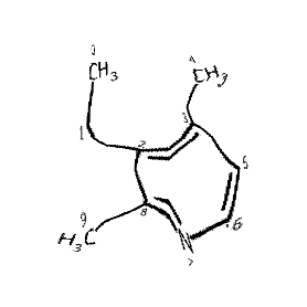 CCc1c(C)c[c]nc1C